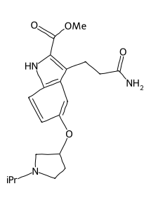 COC(=O)c1[nH]c2ccc(OC3CCN(C(C)C)C3)cc2c1CCC(N)=O